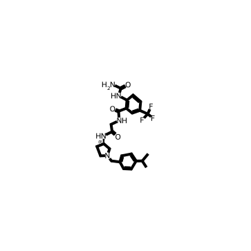 CC(C)c1ccc(CN2CC[C@@H](NC(=O)CNC(=O)c3cc(C(F)(F)F)ccc3NC(N)=O)C2)cc1